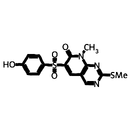 CSc1ncc2cc(S(=O)(=O)c3ccc(O)cc3)c(=O)n(C)c2n1